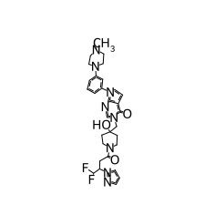 CN1CCN(c2cccc(-n3ccc4c(=O)n(CC5(O)CCN(C(=O)CC(C(F)F)n6cccn6)CC5)cnc43)c2)CC1